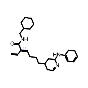 C=C/C(=C\CCCC1CC=NC(NC2=CC=CCC2)C1)C(=O)NCC1CCCCC1